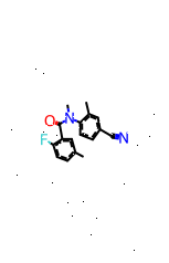 Cc1ccc(F)c(C(=O)N(C)c2ccc(C#N)cc2C)c1